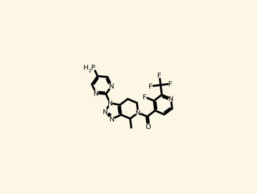 CC1c2nnn(-c3ncc(P)cn3)c2CCN1C(=O)c1ccnc(C(F)(F)F)c1F